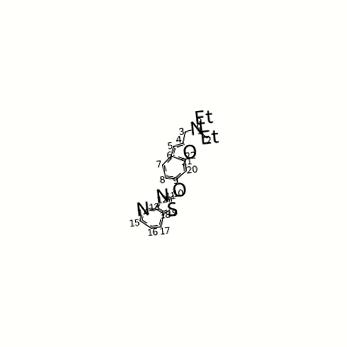 CCN(CC)Cc1cc2ccc(Oc3nc4ncccc4s3)cc2o1